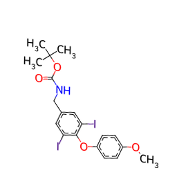 COc1ccc(Oc2c(I)cc(CNC(=O)OC(C)(C)C)cc2I)cc1